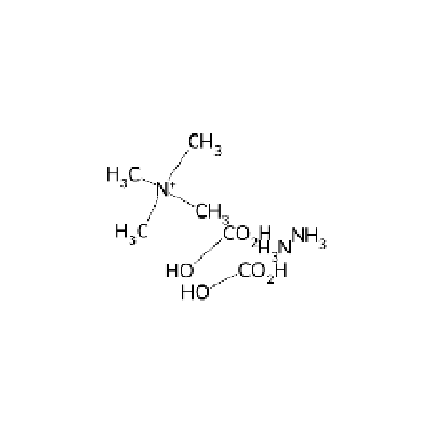 C[N+](C)(C)C.N.N.O=C(O)O.O=C(O)O